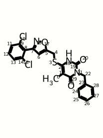 Cc1c(SCc2cc(-c3c(Cl)cccc3Cl)no2)[nH]c(=O)n(Cc2ccccc2)c1=O